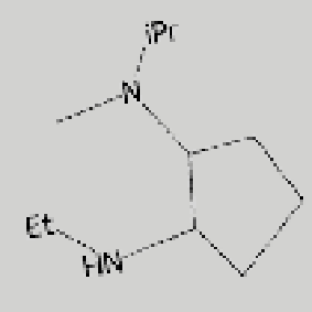 CCNC1CCCC1N(C)C(C)C